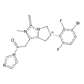 Cn1c(CC(=O)n2ccnc2)c2n(c1=S)C[C@H](c1c(F)ccc(Br)c1F)C2